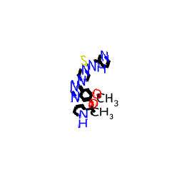 COc1cc2c(N3CCN(C(=S)NCc4cccnc4)CC3)ncnc2cc1OC(C)C1CCCCN1